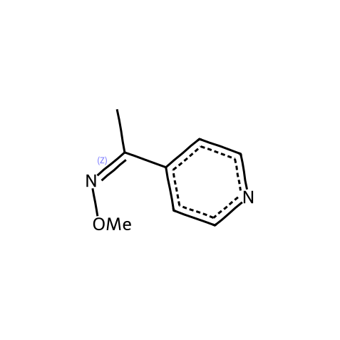 CO/N=C(/C)c1ccncc1